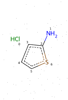 Cl.Nc1cccs1